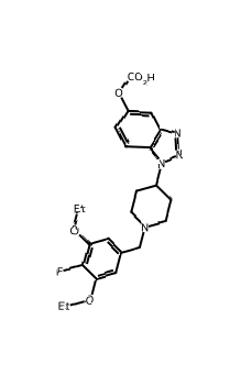 CCOc1cc(CN2CCC(n3nnc4cc(OC(=O)O)ccc43)CC2)cc(OCC)c1F